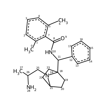 Cc1cccc(C)c1C(=O)NC(c1ccccc1)C12CCC(CC1)N2CC(C)N